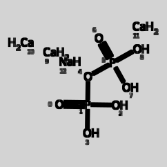 O=P(O)(O)OP(=O)(O)O.[CaH2].[CaH2].[CaH2].[NaH]